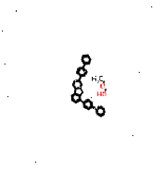 CCOCO.c1ccc(-c2ccc(-c3ccc4c(c3)Cc3c(-c5ccc(-c6ccccc6)cc5)cccc3-4)cc2)cc1